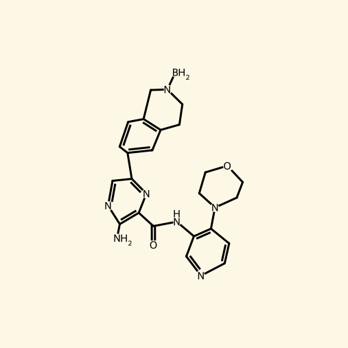 BN1CCc2cc(-c3cnc(N)c(C(=O)Nc4cnccc4N4CCOCC4)n3)ccc2C1